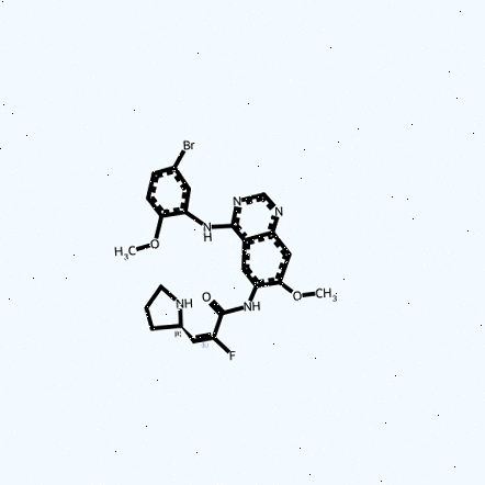 COc1cc2ncnc(Nc3cc(Br)ccc3OC)c2cc1NC(=O)/C(F)=C\[C@H]1CCCN1